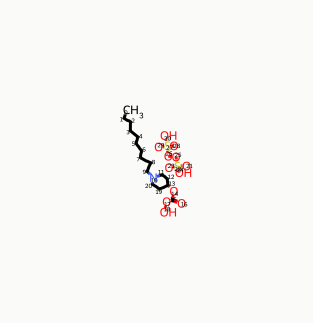 CCCCCCCCCCN1CCC(OC(=O)OO)CC1.O=S(=O)(O)OOS(=O)(=O)O